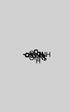 CSC1NC2NC3C(CCCC3OS(=O)(=O)c3ccc(C)cc3)CN2N1